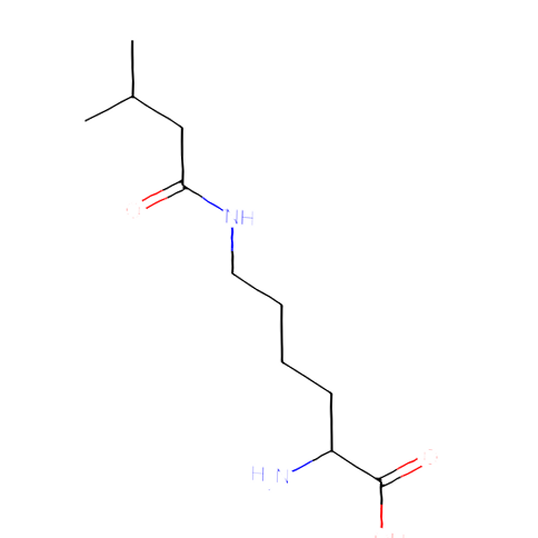 CC(C)CC(=O)NCCCCC(N)C(=O)O